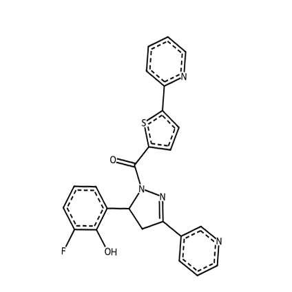 O=C(c1ccc(-c2ccccn2)s1)N1N=C(c2cccnc2)CC1c1cccc(F)c1O